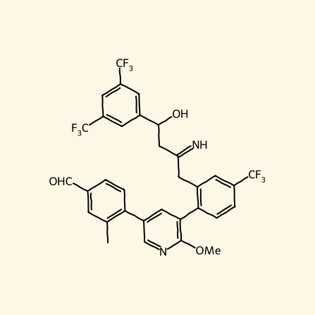 COc1ncc(-c2ccc(C=O)cc2C)cc1-c1ccc(C(F)(F)F)cc1CC(=N)CC(O)c1cc(C(F)(F)F)cc(C(F)(F)F)c1